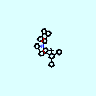 CC1(C)c2cc(N(c3ccc(-c4cccc5cccc(-c6ccccc6)c45)cc3)c3ccccc3-c3ccccc3)ccc2-c2cc(-c3ccccc3)cc(-c3ccccc3)c21